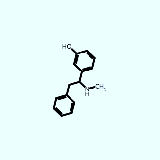 CNC(Cc1ccccc1)c1cccc(O)c1